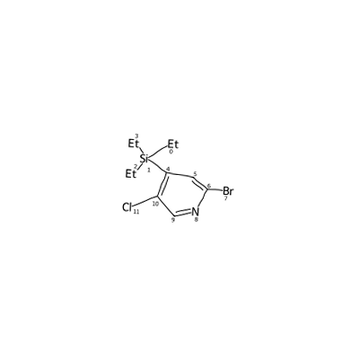 CC[Si](CC)(CC)c1cc(Br)ncc1Cl